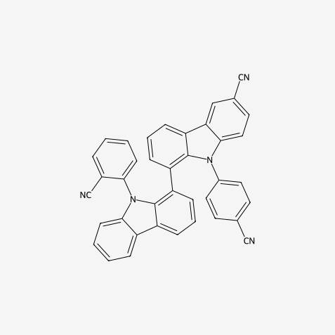 N#Cc1ccc(-n2c3ccc(C#N)cc3c3cccc(-c4cccc5c6ccccc6n(-c6ccccc6C#N)c45)c32)cc1